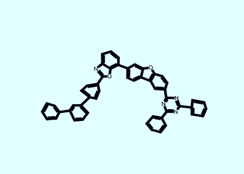 c1ccc(-c2cccc(-c3ccc(-c4nc5cccc(-c6ccc7c(c6)oc6ccc(-c8nc(-c9ccccc9)nc(-c9ccccc9)n8)cc67)c5o4)cc3)c2)cc1